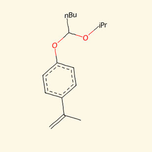 C=C(C)c1ccc(OC(CCCC)OC(C)C)cc1